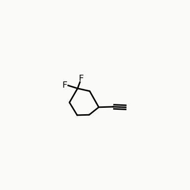 C#CC1CCCC(F)(F)C1